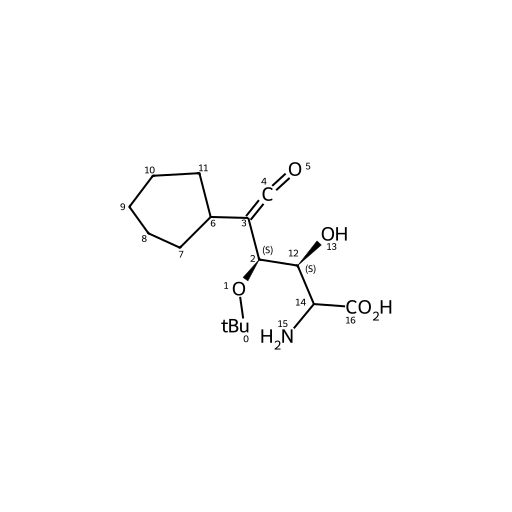 CC(C)(C)O[C@@H](C(=C=O)C1CCCCC1)[C@@H](O)C(N)C(=O)O